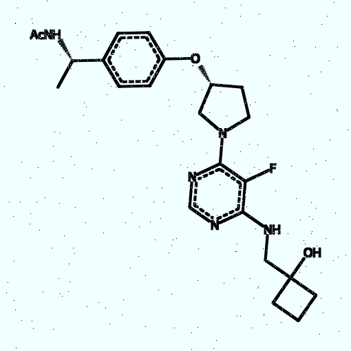 CC(=O)N[C@@H](C)c1ccc(O[C@@H]2CCN(c3ncnc(NCC4(O)CCC4)c3F)C2)cc1